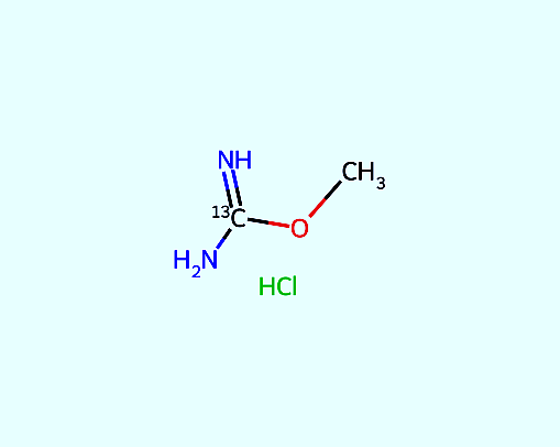 CO[13C](=N)N.Cl